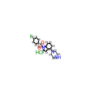 Cl.O=S(=O)(c1ccc(F)cc1)n1ccc2c(N3CCNCC3)cccc21